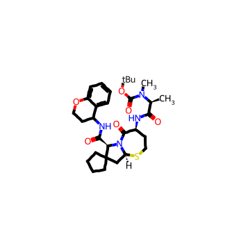 C[C@@H](C(=O)N[C@H]1CCS[C@H]2CC3(CCCC3)[C@@H](C(=O)NC3CCOc4ccccc43)N2C1=O)N(C)C(=O)OC(C)(C)C